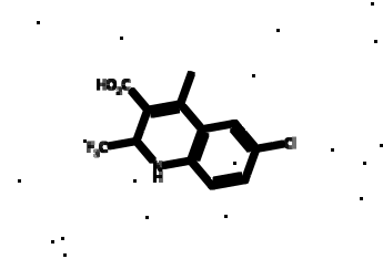 CC1=C(C(=O)O)C(C(F)(F)F)Nc2ccc(Cl)cc21